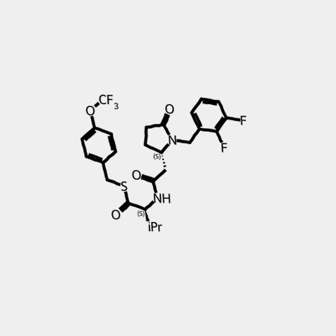 CC(C)[C@H](NC(=O)C[C@@H]1CCC(=O)N1Cc1cccc(F)c1F)C(=O)SCc1ccc(OC(F)(F)F)cc1